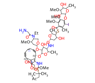 CCN(C(=O)CN)C1COC(OC2C(O[C@H]3C#C/C=C\C#C[C@]4(O)CC(=O)C(NC(=O)OC)=C3/C4=C\CSSC(C)(C)CC(C)=O)OC(C)C(NOC3CC(O)C(SC(=O)c4c(C)c(I)c(OC5OC(C)C(O)C(OC)C5O)c(OC)c4OC)C(C)O3)C2O)CC1OC